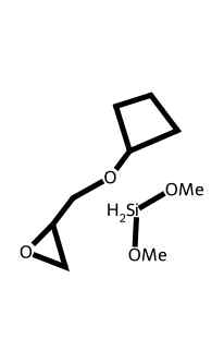 C1CC(OCC2CO2)C1.CO[SiH2]OC